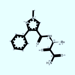 CC[C@@H](C)[C@H](NC(=O)c1cn(C)nc1-c1ccccc1)C(=O)C(N)=O